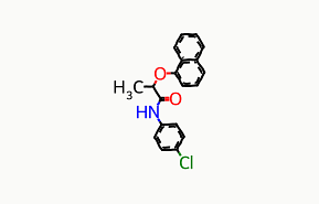 CC(Oc1cccc2ccccc12)C(=O)Nc1ccc(Cl)cc1